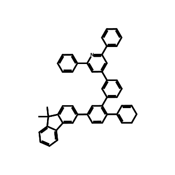 CC1(C)c2ccccc2-c2cc(-c3ccc(C4=CCCC=C4)c(-c4cccc(-c5cc(-c6ccccc6)nc(-c6ccccc6)c5)c4)c3)ccc21